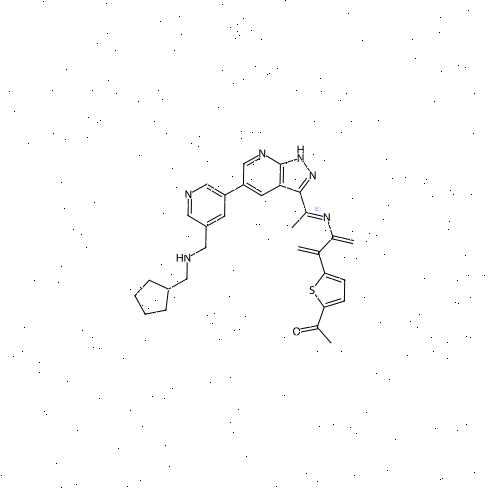 C=C(/N=C(\C)c1n[nH]c2ncc(-c3cncc(CNCC4CCCC4)c3)cc12)C(=C)c1ccc(C(C)=O)s1